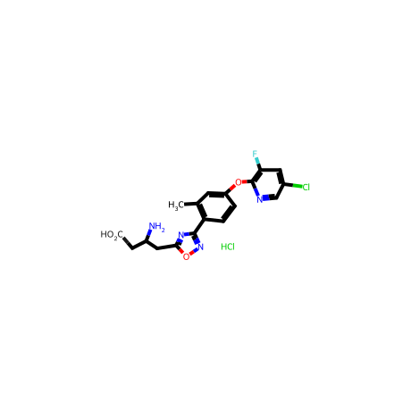 Cc1cc(Oc2ncc(Cl)cc2F)ccc1-c1noc(CC(N)CC(=O)O)n1.Cl